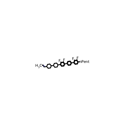 C/C=C/C1CCC(C2CCC(c3ccc(-c4ccc(-c5ccc(CCCCC)c(F)c5F)cc4)c(F)c3F)CC2)CC1